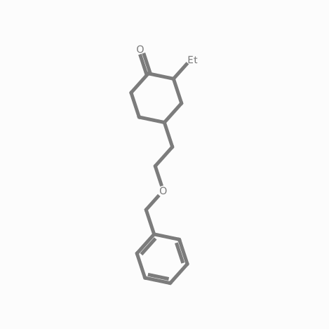 CCC1CC(CCOCc2ccccc2)CCC1=O